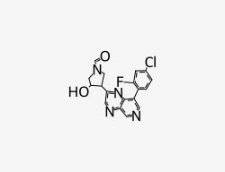 O=CN1CC(O)C(c2cnc3cncc(-c4ccc(Cl)cc4F)c3n2)C1